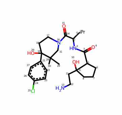 CC(C)C(NC(=O)C1CCCC1(O)CCN)C(=O)N1CCC(O)(c2ccc(Cl)cc2)C(C)(C)C1